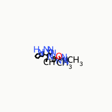 C#Cc1c(-c2cnc3ccccc3c2)c2c(N)ncnc2n1C12CCC(N(C)C(=O)c3cnc(C)cn3)(CC1)C2